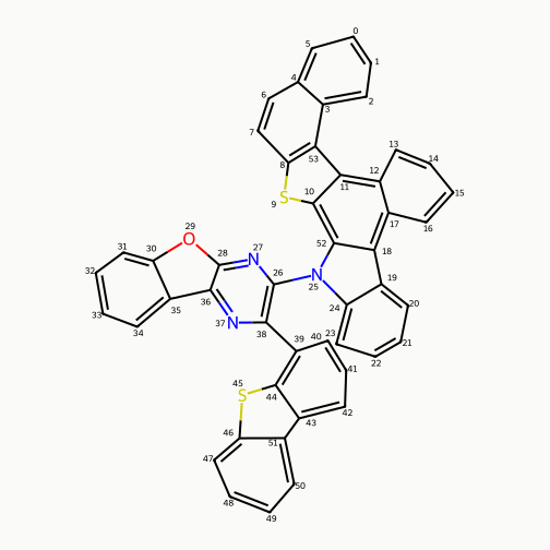 c1ccc2c(c1)ccc1sc3c(c4ccccc4c4c5ccccc5n(-c5nc6oc7ccccc7c6nc5-c5cccc6c5sc5ccccc56)c34)c12